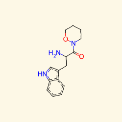 NC(Cc1c[nH]c2ccccc12)C(=O)N1CCCCO1